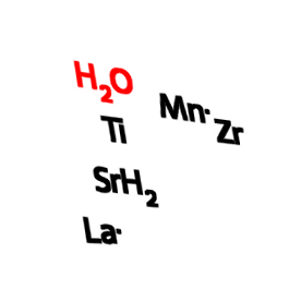 O.[La].[Mn].[SrH2].[Ti].[Zr]